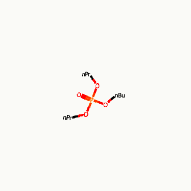 CCCCOP(=O)(OCCC)OCCC